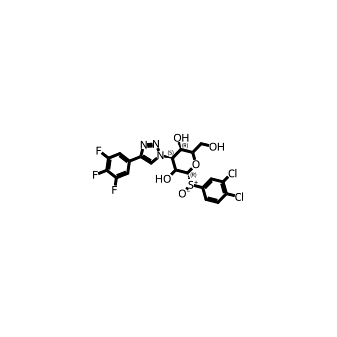 [O-][S+](c1ccc(Cl)c(Cl)c1)[C@H]1OC(CO)[C@H](O)[C@H](n2cc(-c3cc(F)c(F)c(F)c3)nn2)C1O